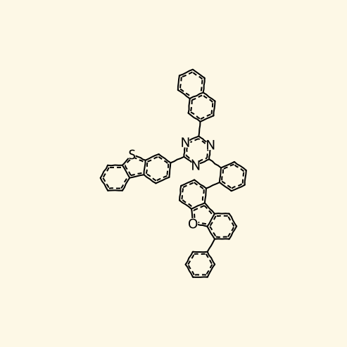 c1ccc(-c2cccc3c2oc2cccc(-c4ccccc4-c4nc(-c5ccc6ccccc6c5)nc(-c5ccc6c(c5)sc5ccccc56)n4)c23)cc1